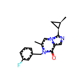 Cc1cn2c([C@H]3C[C@H]3C)ncc2c(=O)n1Cc1cccc(F)c1